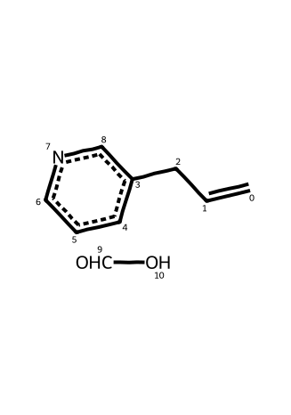 C=CCc1cccnc1.O=CO